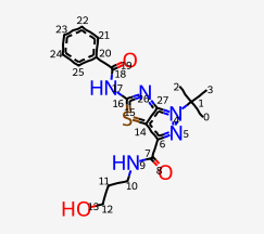 CC(C)(C)n1nc(C(=O)NCCCO)c2sc(NC(=O)c3ccccc3)nc21